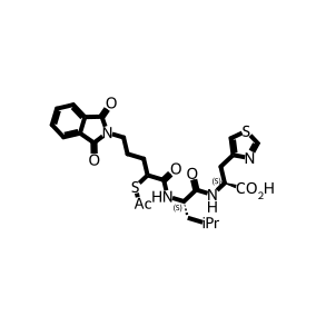 CC(=O)SC(CCCN1C(=O)c2ccccc2C1=O)C(=O)N[C@@H](CC(C)C)C(=O)N[C@@H](Cc1cscn1)C(=O)O